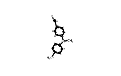 Cc1ccc(N(C)c2ccc(C#N)cc2)cc1